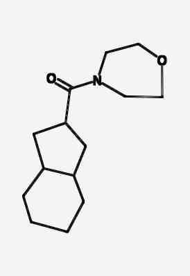 O=C(C1CC2CCCCC2C1)N1CCOCC1